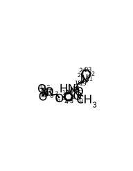 COc1ccc(OCCO[N+](=O)[O-])cc1NC(=O)CCN1CCCCC1